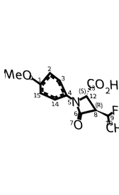 COc1ccc(N2C(=O)[C@H](C(C)F)[C@H]2C(=O)O)cc1